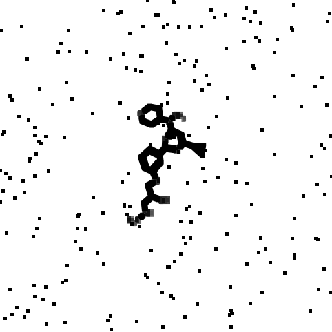 CNCC(O)COc1cccc(-c2nc(C3CC3)cc(N(C)C3CCOCC3)n2)c1